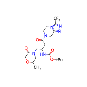 CC1CN(CC(CC(=O)N2CCn3c(nnc3C(F)(F)F)C2)NC(=O)OC(C)(C)C)C(=O)CO1